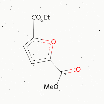 CCOC(=O)c1ccc(C(=O)OC)o1